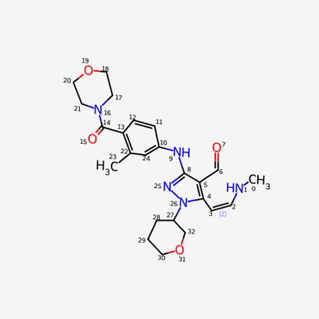 CN/C=C\c1c(C=O)c(Nc2ccc(C(=O)N3CCOCC3)c(C)c2)nn1C1CCCOC1